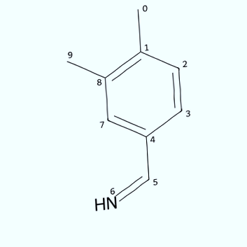 Cc1ccc(C=N)cc1C